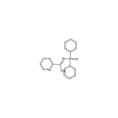 C/C(=N\P(=O)(c1ccccc1)c1ccccc1)c1ccccn1